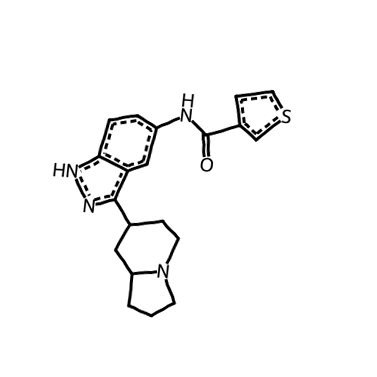 O=C(Nc1ccc2[nH]nc(C3CCN4CCCC4C3)c2c1)c1ccsc1